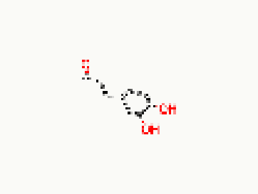 O=[C]C=Cc1ccc(O)c(O)c1